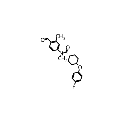 Cc1cc(N(C)C(=O)[C@H]2CC[C@H](Oc3ccc(F)cc3)CC2)ccc1C=O